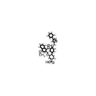 COc1cc(COC2CN(C(=O)O)CCC2c2ccc(OCc3cc(-c4ccccc4)no3)cc2)c(OC)c2ccccc12